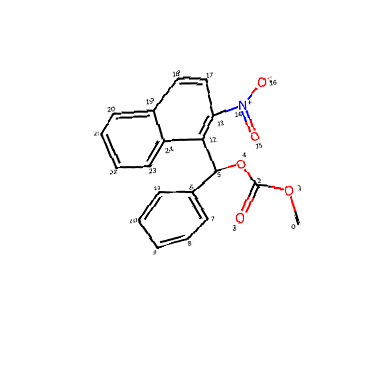 COC(=O)OC(c1ccccc1)c1c([N+](=O)[O-])ccc2ccccc12